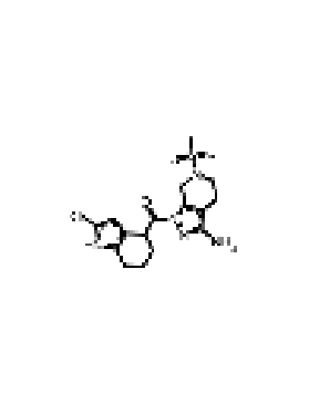 CS(=O)(=O)N1CCc2c(N)nn(C(=O)C3CCCc4[nH]c(Cl)cc43)c2C1